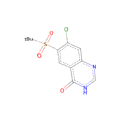 CC(C)(C)S(=O)(=O)c1cc2c(=O)[nH]cnc2cc1Cl